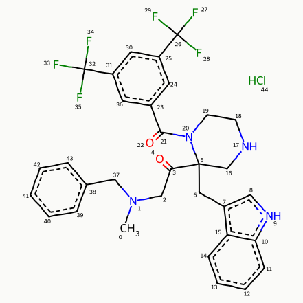 CN(CC(=O)C1(Cc2c[nH]c3ccccc23)CNCCN1C(=O)c1cc(C(F)(F)F)cc(C(F)(F)F)c1)Cc1ccccc1.Cl